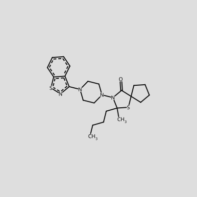 CCCCC1(C)SC2(CCCC2)C(=O)N1N1CCN(c2nsc3ccccc23)CC1